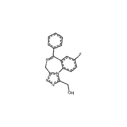 OCc1nnc2n1-c1ccc(F)cc1C(c1ccccc1)=NC2